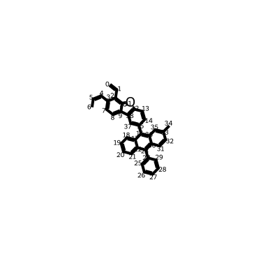 C=Cc1c(/C=C\C)ccc2c1oc1ccc(-c3c4ccccc4c(-c4ccccc4)c4ccc(C)cc34)cc12